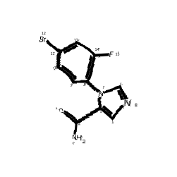 NC(=O)c1cncn1-c1ccc(Br)cc1F